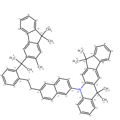 Cc1cc2c(cc1C(C)(C)c1ccccc1CCc1ccc3cc(N4c5ccccc5C(C)(C)c5cc6c(cc54)C(C)(C)c4ccccc4-6)ccc3c1)-c1ccccc1C2(C)C